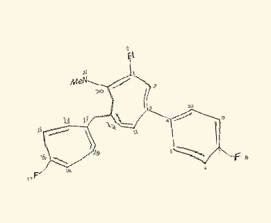 CCc1cc(-c2ccc(F)cc2)cc(-c2ccc(F)cc2)c1NC